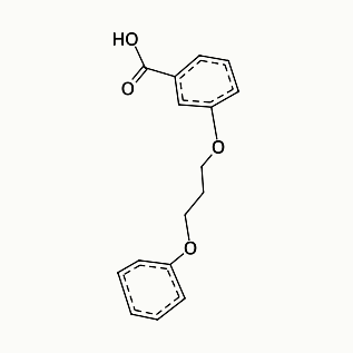 O=C(O)c1cccc(OCCCOc2ccccc2)c1